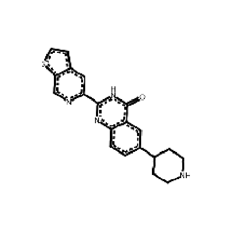 O=c1[nH]c(-c2cc3ccsc3cn2)nc2ccc(C3CCNCC3)cc12